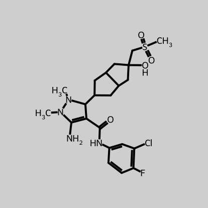 CN1C(N)=C(C(=O)Nc2ccc(F)c(Cl)c2)C(C2CC3CC(O)(CS(C)(=O)=O)CC3C2)N1C